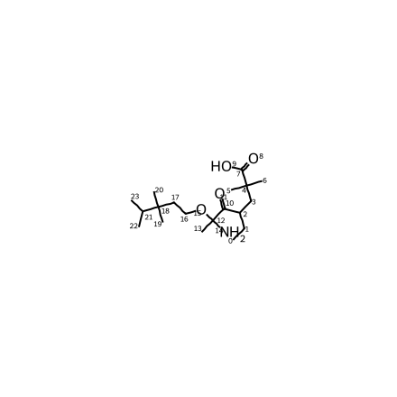 CCC(CC(C)(C)C(=O)O)C(=O)C(C)(N)OCCC(C)(C)C(C)C